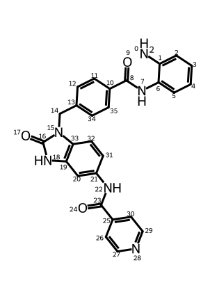 Nc1ccccc1NC(=O)c1ccc(Cn2c(=O)[nH]c3cc(NC(=O)c4ccncc4)ccc32)cc1